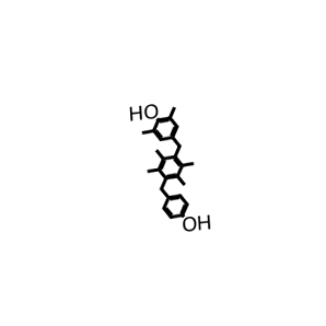 Cc1cc(Cc2c(C)c(C)c(Cc3ccc(O)cc3)c(C)c2C)cc(C)c1O